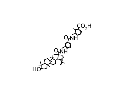 C=C(C)[C@@H]1CCC2(C(=O)NCc3cccc(C(=O)NCc4cccc(C(=O)O)c4C)c3)CC[C@]3(C)C(CCC4C5(C)CCC(O)C(C)(C)C5CCC43C)C12